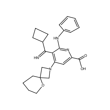 N=C(c1c(N2CC3(CCCCO3)C2)cc(C(=O)O)nc1Nc1ccccc1)C1CCC1